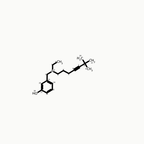 CCN(CCCC#CC(C)(C)C)Cc1cccc(O)c1